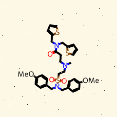 COc1ccc(CN(Cc2ccc(OC)cc2)S(=O)(=O)CCN(C)CCC(=O)N(Cc2cccs2)Cc2cccs2)cc1